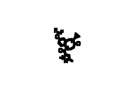 Cc1cc(C(=O)N2CCC(=O)N(C3CC3)Cc3cc(OC(F)F)ccc32)n(C)n1